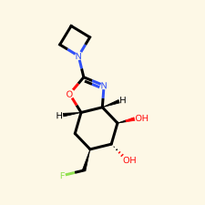 O[C@@H]1[C@@H](CF)C[C@@H]2OC(N3CCC3)=N[C@@H]2[C@H]1O